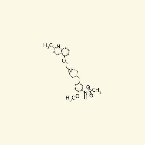 COc1ccc(CC2CCN(CCOc3cccc4nc(C)ccc34)CC2)cc1NS(C)(=O)=O